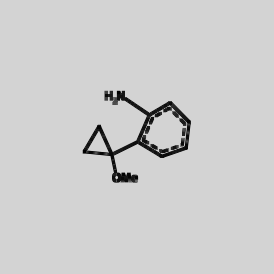 COC1(c2ccccc2N)CC1